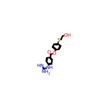 N=C(N)Nc1ccc(C(=O)Oc2ccc(SCCO)cc2)cc1